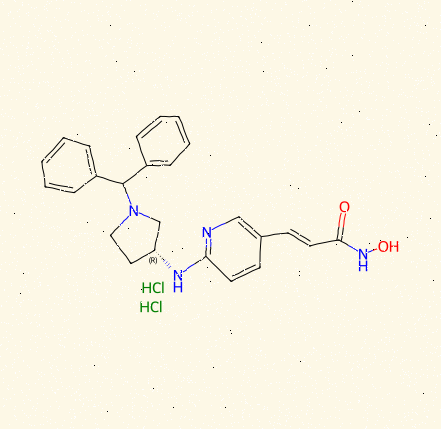 Cl.Cl.O=C(C=Cc1ccc(N[C@@H]2CCN(C(c3ccccc3)c3ccccc3)C2)nc1)NO